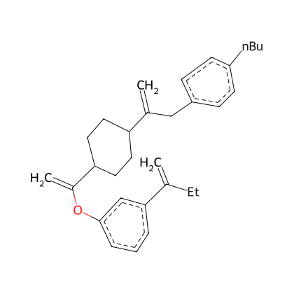 C=C(CC)c1cccc(OC(=C)C2CCC(C(=C)Cc3ccc(CCCC)cc3)CC2)c1